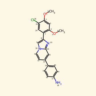 COc1cc(OC)c(-c2cn3ccc(-c4ccc(N)cc4)cc3n2)cc1Cl